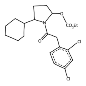 CCOC(=O)OC1CCC(C2CCCCC2)N1C(=O)Cc1ccc(Cl)cc1Cl